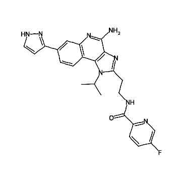 CC(C)n1c(CCNC(=O)c2ccc(F)cn2)nc2c(N)nc3cc(-c4cc[nH]n4)ccc3c21